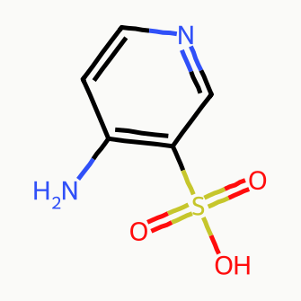 Nc1ccncc1S(=O)(=O)O